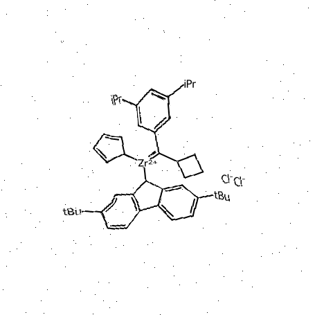 CC(C)c1cc([C](C2CCC2)=[Zr+2]([CH]2C=CC=C2)[CH]2c3cc(C(C)(C)C)ccc3-c3ccc(C(C)(C)C)cc32)cc(C(C)C)c1.[Cl-].[Cl-]